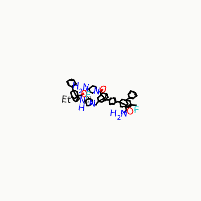 CCC12CC3CC(C(=O)N[C@@H]4CCN(CC56CC7CC(C(=O)N8CCC(N)CC8)(C5)CC(c5ccc(C89CC%10(CF)CC(C(N)=O)(CC(c%11ccccc%11)(C%10)C8)C9)cc5)(C7)C6)C[C@@H]4F)(C1)CC(c1ccccc1)(C3)C2